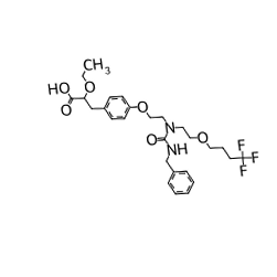 CCOC(Cc1ccc(OCCN(CCOCCCC(F)(F)F)C(=O)NCc2ccccc2)cc1)C(=O)O